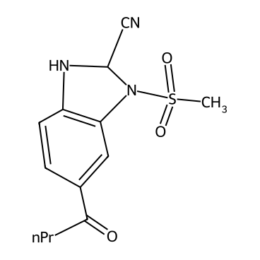 CCCC(=O)c1ccc2c(c1)N(S(C)(=O)=O)C(C#N)N2